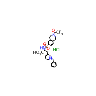 Cl.O=C(O)C(CC1=CCCN(Cc2ccccc2)C1)NS(=O)(=O)c1ccc2c(c1)CCN(C(=O)C(F)(F)F)CC2